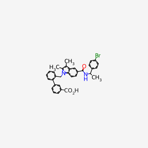 Cc1c(C)n(Cc2ccccc2-c2cccc(C(=O)O)c2)c2ccc(C(=O)NC(C)c3ccc(Br)cc3)cc12